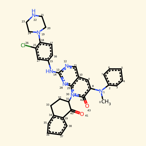 CN(c1ccccc1)c1cc2cnc(Nc3ccc(N4CCNCC4)c(Cl)c3)nc2n(C2CCc3ccccc3C2=O)c1=O